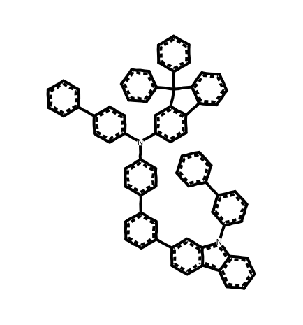 c1ccc(-c2ccc(N(c3ccc(-c4cccc(-c5ccc6c7ccccc7n(-c7cccc(-c8ccccc8)c7)c6c5)c4)cc3)c3ccc4c(c3)C(c3ccccc3)(c3ccccc3)c3ccccc3-4)cc2)cc1